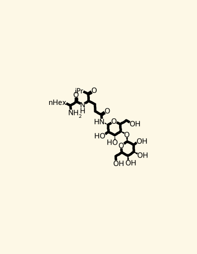 CCCCCCC(N)C(=O)NC(CCC(=O)N[C@@H]1OC(CO)[C@@H](O[C@@H]2OC(CO)[C@H](O)[C@H](O)C2O)[C@H](O)C1O)C(=O)C(C)C